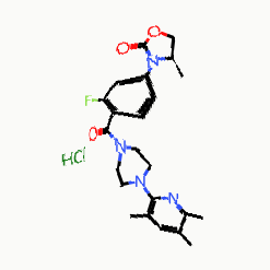 Cc1cc(C)c(N2CCN(C(=O)c3ccc(N4C(=O)OC[C@H]4C)cc3F)CC2)nc1C.Cl